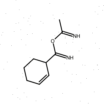 CC(=N)OC(=N)C1C=CCCC1